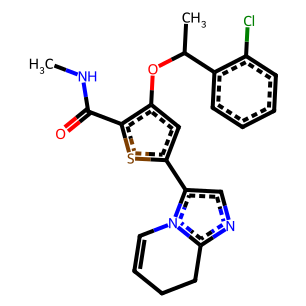 CNC(=O)c1sc(-c2cnc3n2C=CCC3)cc1OC(C)c1ccccc1Cl